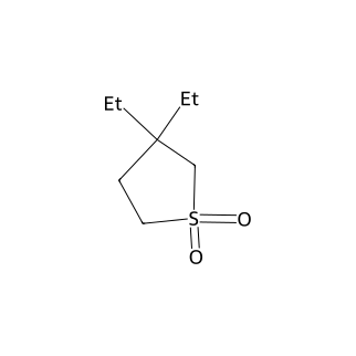 CCC1(CC)CCS(=O)(=O)C1